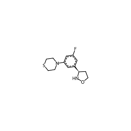 Fc1cc([C@H]2CCON2)cc(N2CCSCC2)c1